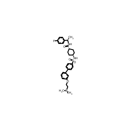 C[C@@H](NC(=O)[C@H]1CC[C@H](NS(=O)(=O)c2ccc(-c3cccc(OCCN(C)C)c3)cc2)CC1)c1ccc(F)cc1